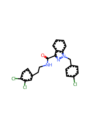 O=C(NCCc1ccc(Cl)c(Cl)c1)c1nn(Cc2ccc(Cl)cc2)c2ccccc12